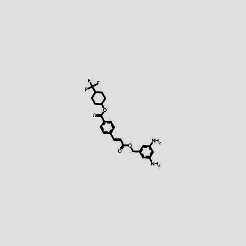 Nc1cc(N)cc(COC(=O)C=Cc2ccc(C(=O)OC3CCC(C(F)(F)F)CC3)cc2)c1